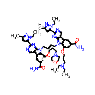 CCN(CC)CCCOc1cc(C(N)=O)cc2c3cnc(-c4cc(C)nn4CC)nc3n(C/C=C/Cn3c4nc(-c5cc(C)nn5CC)ncc4c4cc(C(N)=O)cc(OCCCN5CCOCC5)c43)c12